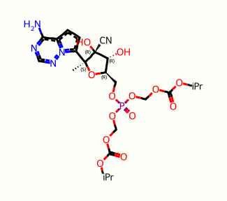 CC(C)OC(=O)OCOP(=O)(OCOC(=O)OC(C)C)OC[C@H]1O[C@@](C)(c2ccc3c(N)ncnn23)[C@@](O)(C#N)[C@@H]1O